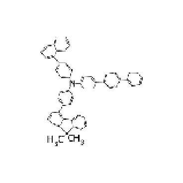 CC1(C)c2ccccc2-c2c(-c3ccc(N(c4ccc(-c5ccc(-c6ccccc6)cc5)cc4)c4ccc(-c5cccc6ccccc56)cc4)cc3)cccc21